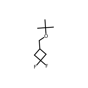 CC(C)(C)OCC1CC(F)(F)C1